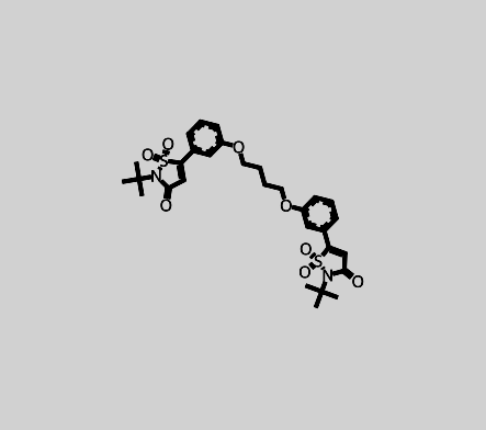 CC(C)(C)N1C(=O)C=C(c2cccc(OCCCCOc3cccc(C4=CC(=O)N(C(C)(C)C)S4(=O)=O)c3)c2)S1(=O)=O